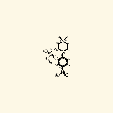 COS(=O)(=O)[O-].C[N+]1(C)CCN(c2ccc([N+](=O)[O-])cc2)CC1